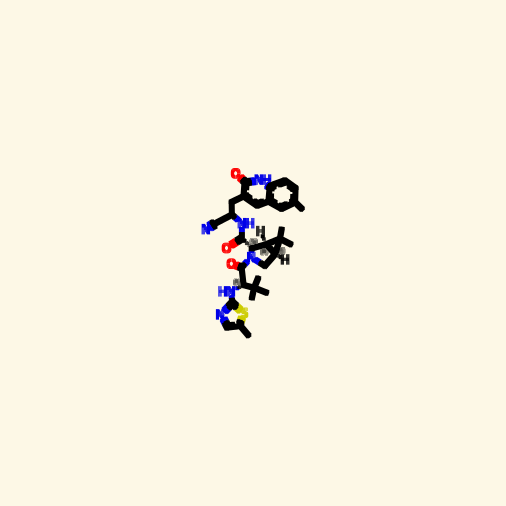 Cc1ccc2[nH]c(=O)c(CC(C#N)NC(=O)[C@@H]3[C@@H]4[C@H](CN3C(=O)[C@@H](Nc3ncc(C)s3)C(C)(C)C)C4(C)C)cc2c1